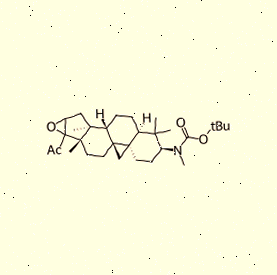 CC(=O)C12OC1C[C@@]1(C)[C@@H]3CC[C@H]4C(C)(C)[C@@H](N(C)C(=O)OC(C)(C)C)CC[C@@]45C[C@@]35CC[C@]21C